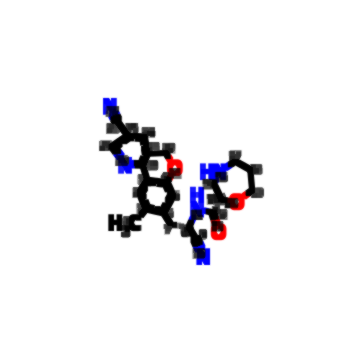 Cc1cc2c(cc1C[C@@H](C#N)NC(=O)[C@@H]1CNCCCO1)OCc1cc(C#N)cnc1-2